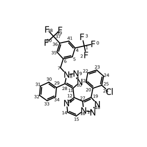 FC(F)(F)c1cc(Cn2nnc(-c3nccn4nnc(-c5ccccc5Cl)c34)c2-c2ccccc2)cc(C(F)(F)F)c1